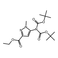 CCOC(=O)c1cc(N(C(=O)OC(C)(C)C)C(=O)OC(C)(C)C)n(C)n1